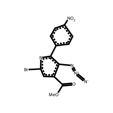 COC(=O)c1cc(Br)nc(-c2ccc([N+](=O)[O-])cc2)c1N=[N+]=[N-]